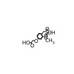 COc1cc(OCC(=O)O)ccc1CS(=O)(=O)O